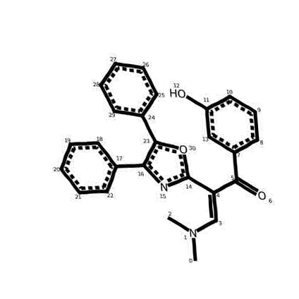 CN(C)C=C(C(=O)c1cccc(O)c1)c1nc(-c2ccccc2)c(-c2ccccc2)o1